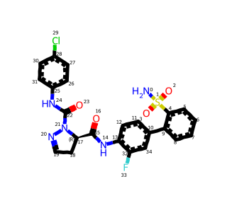 NS(=O)(=O)c1ccccc1-c1ccc(NC(=O)[C@H]2CC=NN2C(=O)Nc2ccc(Cl)cc2)c(F)c1